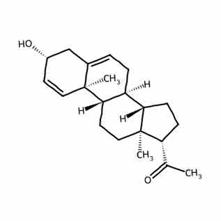 CC(=O)[C@H]1CC[C@H]2[C@@H]3CC=C4C[C@@H](O)C=C[C@]4(C)[C@H]3CC[C@]12C